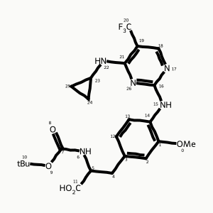 COc1cc(CC(NC(=O)OC(C)(C)C)C(=O)O)ccc1Nc1ncc(C(F)(F)F)c(NC2CC2)n1